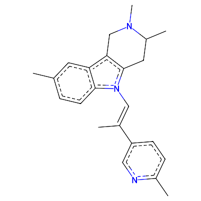 CC(=Cn1c2c(c3cc(C)ccc31)CN(C)C(C)C2)c1ccc(C)nc1